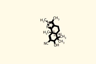 Cc1c2c(nn1C)[C@@]1(C)C=C(C#N)C(O)C(C)(C)[C@@H]1CC2